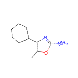 CC1OC(N)=NC1C1CCCCC1